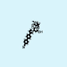 CNC(=O)C(NC(=O)C(CC(=O)O)n1ccc(-c2ccc(-c3ccc(C#N)cc3)cc2)c1)C(C)(C)C